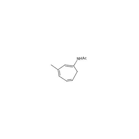 CC(=O)NC1=CC(C)=CC=CC1